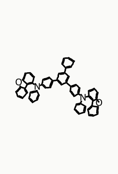 c1ccc(-c2cc(-c3ccc(N(c4ccccc4)c4cccc5oc6ccccc6c45)cc3)cc(-c3ccc(N(c4ccccc4)c4cccc5oc6ccccc6c45)cc3)c2)cc1